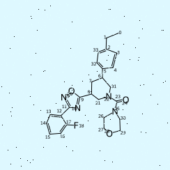 CCc1ccc(C2CC(c3nc(-c4ccccc4F)no3)CN(C(=O)N3CCOCC3)C2)cc1